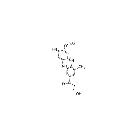 CCCCOC1=C/C(=N/c2ccc(N(CC)CCO)cc2C)C(N)=CC1=N